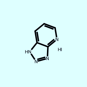 I.c1cnc2nn[nH]c2c1